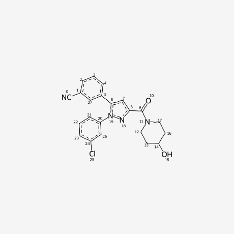 N#Cc1cccc(-c2cc(C(=O)N3CCC(O)CC3)nn2-c2cccc(Cl)c2)c1